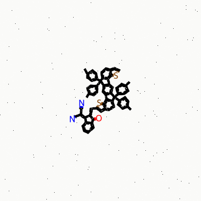 Cc1ccc(C2(c3ccc(C)cc3)c3cc4c(cc3-c3c2ccc2ccsc32)C(c2ccc(C)cc2)(c2ccc(C)cc2)c2ccc3cc(/C=C5\C(=O)c6ccccc6C5=C(C#N)C#N)sc3c2-4)cc1